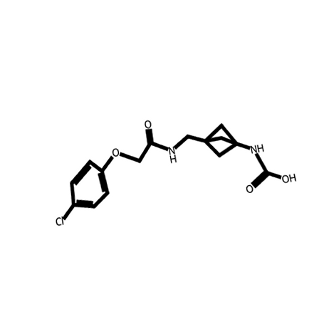 O=C(O)NC12CC(CNC(=O)COc3ccc(Cl)cc3)(C1)C2